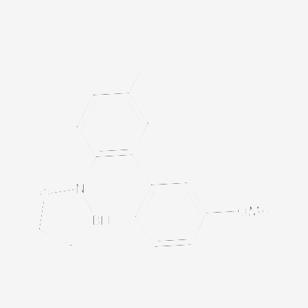 COc1cccc(-c2cc(C)ccc2N2BCCO2)c1